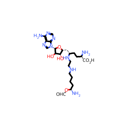 Nc1ncnc2c1ncn2[C@@H]1O[C@H](C[C@H](CC[C@H](N)C(=O)O)NCCNCCCC[C@H](N)OC=O)[C@H](O)C1O